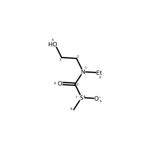 CCN(CCO)C(=O)[S+](C)[O-]